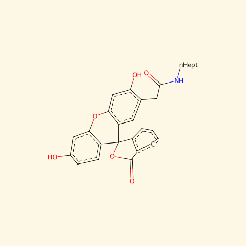 CCCCCCCNC(=O)Cc1cc2c(cc1O)Oc1cc(O)ccc1C21OC(=O)c2ccccc21